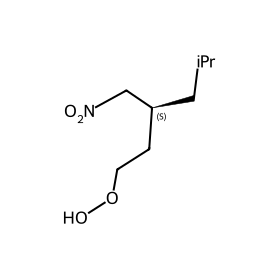 CC(C)C[C@@H](CCOO)C[N+](=O)[O-]